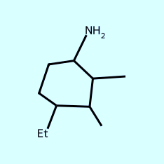 CCC1CCC(N)C(C)C1C